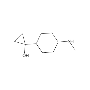 CNC1CCC(C2(O)CC2)CC1